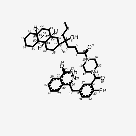 CCCC(O)(CCCC(=O)N1CCN(C(=O)c2cc(Cc3n[nH]c(=O)c4ccccc34)ccc2F)CC1)[C@@]1(C)CC[C@H]2[C@@H](CC[C@H]3CCCC[C@@]32C)C1